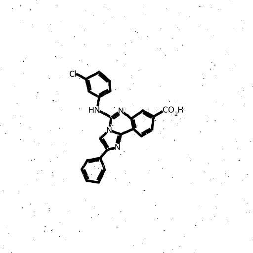 O=C(O)c1ccc2c(c1)nc(Nc1cccc(Cl)c1)n1cc(-c3ccccc3)nc21